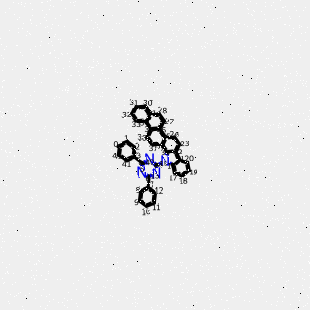 c1ccc(-c2nc(-c3ccccc3)nc(-n3c4ccccc4c4ccc5c6ccc7ccccc7c6ccc5c43)n2)cc1